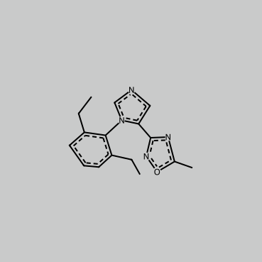 CCc1cccc(CC)c1-n1cncc1-c1noc(C)n1